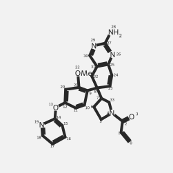 C=CC(=O)N1CCC(C2(c3ccc(Oc4ccccn4)cc3OC)C=Cc3nc(N)ncc3C2)C1